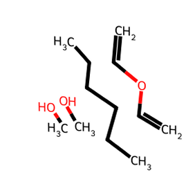 C=COC=C.CCCCCC.CO.CO